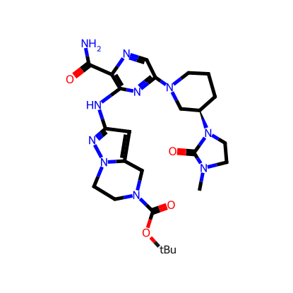 CN1CCN([C@@H]2CCCN(c3cnc(C(N)=O)c(Nc4cc5n(n4)CCN(C(=O)OC(C)(C)C)C5)n3)C2)C1=O